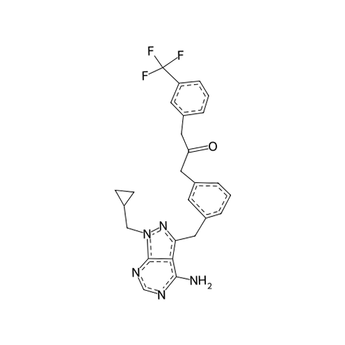 Nc1ncnc2c1c(Cc1cccc(CC(=O)Cc3cccc(C(F)(F)F)c3)c1)nn2CC1CC1